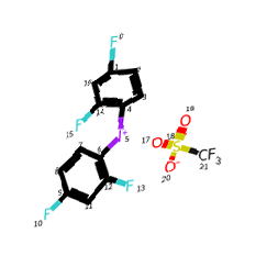 Fc1ccc([I+]c2ccc(F)cc2F)c(F)c1.O=S(=O)([O-])C(F)(F)F